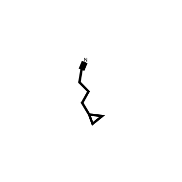 N#CCC[CH]C1CC1